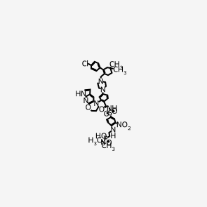 CN(C)P(=O)(O)CCNc1ccc(S(=O)(=O)NC(=O)c2ccc(N3CCN(CC4=C(c5ccc(Cl)cc5)CC(C)(C)CC4)CC3)cc2N2CCCOc3nc4[nH]ccc4cc32)cc1[N+](=O)[O-]